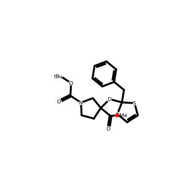 COC(=O)C1(OC2(Cc3ccccc3)SC=CS2)CCN(C(=O)OC(C)(C)C)C1